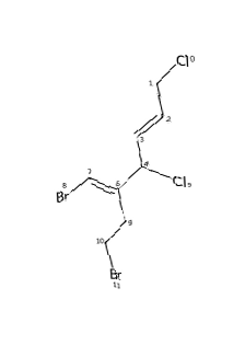 ClCC=CC(Cl)C(=CBr)CCBr